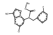 CC(C)(C)OC(=O)N(Cc1cccc(F)c1)c1cc(Cl)nc2c(C#N)cnn12